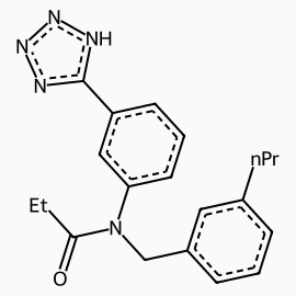 CCCc1cccc(CN(C(=O)CC)c2cccc(-c3nnn[nH]3)c2)c1